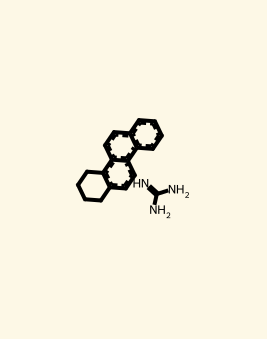 N=C(N)N.c1ccc2c(c1)ccc1c3c(ccc12)CCCC3